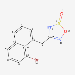 O=S1NC(Cc2cccc3cccc(Br)c23)=NO1